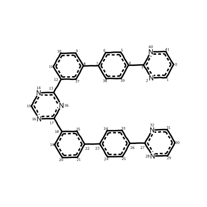 c1cnc(-c2ccc(-c3cccc(-c4ncnc(-c5cccc(-c6ccc(-c7ncccn7)cc6)c5)n4)c3)cc2)nc1